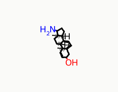 C[C@]12C=CC(O)CC1=CC=C1[C@H]2CC[C@]2(C)C(N)CC[C@@H]12